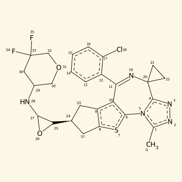 Cc1nnc2n1-c1sc3c(c1C(c1ccccc1Cl)=NC21CC1)C[C@H](C1OC1NC1COCC(F)(F)C1)C3